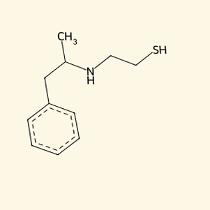 CC(Cc1ccccc1)NCCS